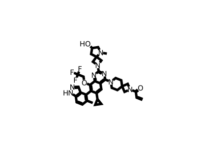 C=CC(=O)N1CC2(CCN(c3nc(N4CC5(CC(O)CN5C)C4)nc4c(OCC(F)(F)F)c(-c5c(C)ccc6[nH]ncc56)c(C5CC5)cc34)CC2)C1